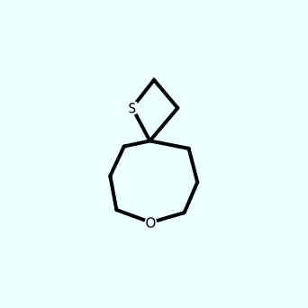 C1COCCCC2(C1)CCS2